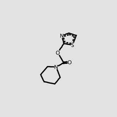 O=C(Oc1nccs1)N1CCCCC1